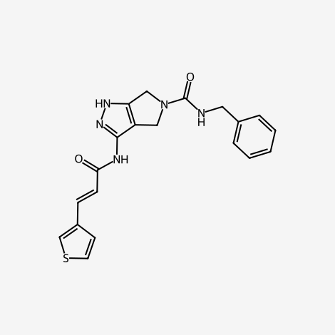 O=C(C=Cc1ccsc1)Nc1n[nH]c2c1CN(C(=O)NCc1ccccc1)C2